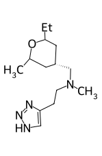 CCC1C[C@H](CN(C)CCc2c[nH]nn2)CC(C)O1